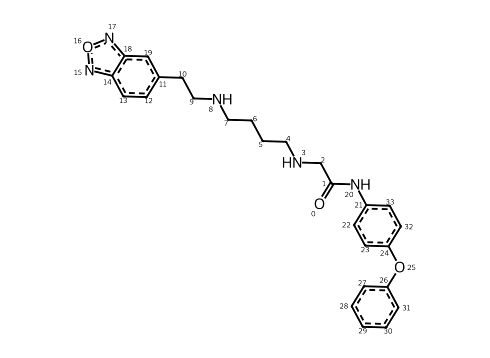 O=C(CNCCCCNCCc1ccc2nonc2c1)Nc1ccc(Oc2ccccc2)cc1